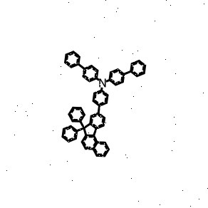 c1ccc(-c2ccc(N(c3ccc(-c4ccccc4)cc3)c3ccc(-c4ccc5c(c4)C(c4ccccc4)(c4ccccc4)c4ccc6ccccc6c4-5)cc3)cc2)cc1